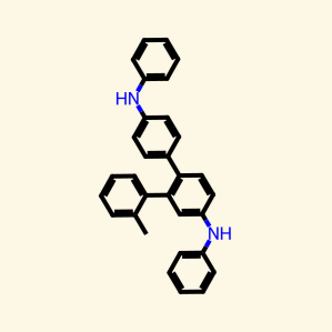 Cc1ccccc1-c1cc(Nc2ccccc2)ccc1-c1ccc(Nc2ccccc2)cc1